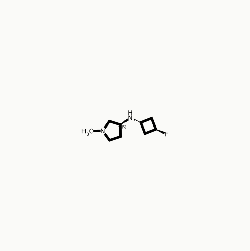 CN1CC[C@H](N[C@H]2C[C@H](F)C2)C1